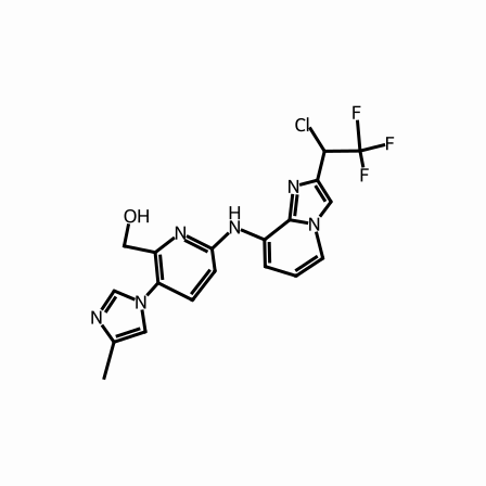 Cc1cn(-c2ccc(Nc3cccn4cc(C(Cl)C(F)(F)F)nc34)nc2CO)cn1